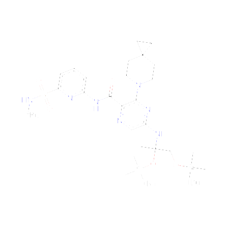 CC(C)(C)NS(=O)(=O)c1cccc(NC(=O)c2ncc(NC(C)(CO[Si](C)(C)C(C)(C)C)O[Si](C)(C)C(C)(C)C)nc2N2CCC3(CC2)CC3)n1